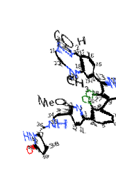 COc1nc(-c2cccc(-c3ccnc(-c4ccc5c(c4)N(C)CCN(C(=O)O)C5)c3Cl)c2Cl)ccc1CNC[C@@H]1CCC(=O)N1